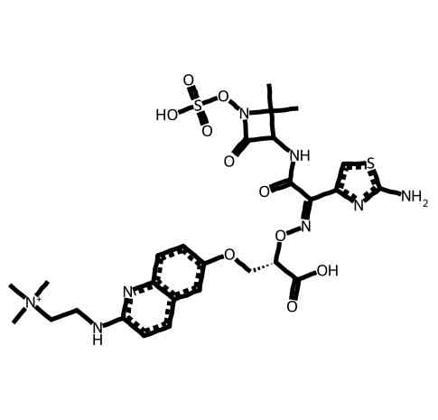 CC1(C)C(NC(=O)/C(=N\O[C@@H](COc2ccc3nc(NCC[N+](C)(C)C)ccc3c2)C(=O)O)c2csc(N)n2)C(=O)N1OS(=O)(=O)O